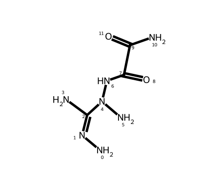 NN=C(N)N(N)NC(=O)C(N)=O